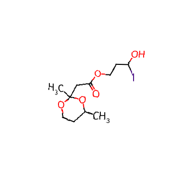 CC1CCOC(C)(CC(=O)OCCC(O)I)O1